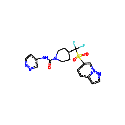 O=C(Nc1ccnnc1)N1CCC(C(F)(F)S(=O)(=O)c2ccc3ccnn3c2)CC1